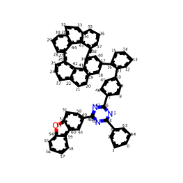 c1ccc(-c2nc(-c3ccc(-c4ccccc4-c4cc5ccc6cccc7c8cccc9ccc%10cccc(c(c4)c5c67)c%10c98)cc3)nc(-c3ccc4oc5ccccc5c4c3)n2)cc1